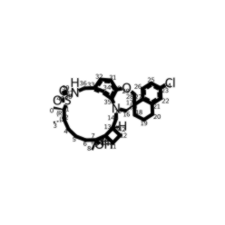 C[C@@H]1[C@@H](C)CCC[C@@](C)(O)[C@@H]2CC[C@H]2CN2C[C@@]3(CCCc4cc(Cl)ccc43)COc3ccc(cc32)CNS1(=O)=O